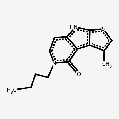 CCCCn1ccc2[nH]c3scc(C)c3c2c1=O